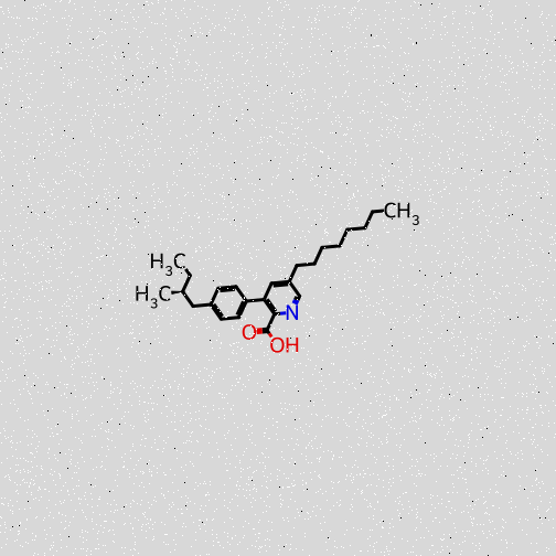 CCCCCCCCc1cnc(C(=O)O)c(-c2ccc(C[C@@H](C)CC)cc2)c1